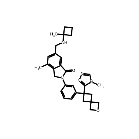 Cc1cc(CNC2(C)CCC2)cc2c1CN(c1cccc(C3(c4nncn4C)CC4(COC4)C3)c1)C2=O